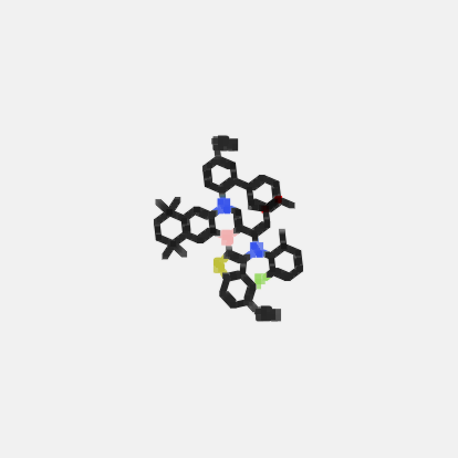 C/C=C(C)\C=C1/C2=CN(c3ccc(C(C)(C)C)cc3-c3ccccc3)c3cc4c(cc3B2c2sc3ccc(C(C)(C)C)cc3c2N1C1C(F)=CC=CC1C)C(C)(C)CCC4(C)C